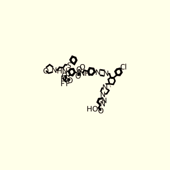 C[C@@]1(CN2CCN(c3ccc(C(=O)O)nn3)CC2)CCC(c2ccc(Cl)cc2)=C(CN2CCN(c3ccc(C(=O)NS(=O)(=O)c4ccc(NC(CCN5CCCOCC5)CSc5ccccc5)c(S(=O)(=O)C(F)(F)F)c4)cc3)CC2)C1